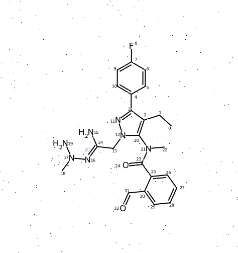 CCc1c(-c2ccc(F)cc2)nn(C/C(N)=N/N(C)N)c1N(C)C(=O)c1ccccc1C=O